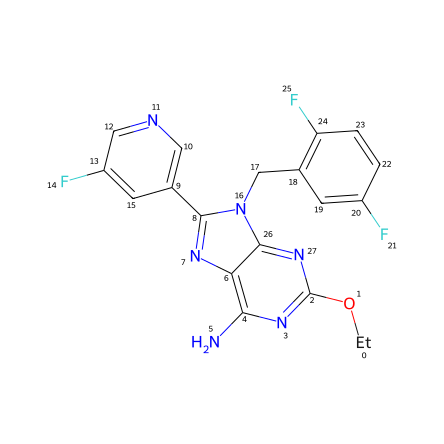 CCOc1nc(N)c2nc(-c3cncc(F)c3)n(Cc3cc(F)ccc3F)c2n1